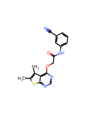 Cc1sc2ncnc(OCC(=O)Nc3cccc(C#N)c3)c2c1C